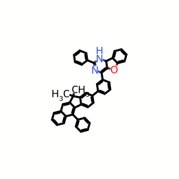 CC1(C)c2cc(-c3cccc(C4=C5Oc6ccccc6C5NC(c5ccccc5)=N4)c3)ccc2-c2c1cc1ccccc1c2-c1ccccc1